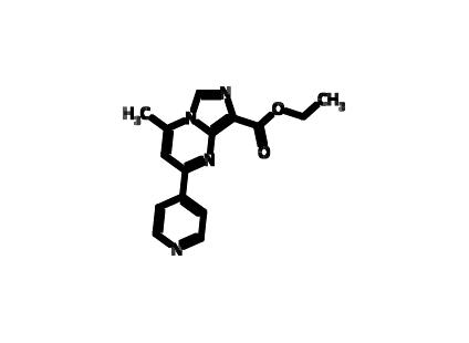 CCOC(=O)c1ncn2c(C)cc(-c3ccncc3)nc12